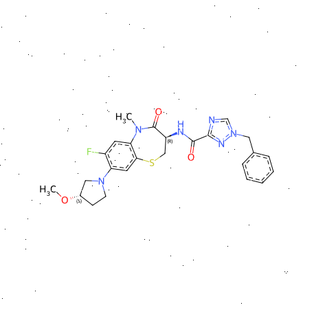 CO[C@H]1CCN(c2cc3c(cc2F)N(C)C(=O)[C@@H](NC(=O)c2ncn(Cc4ccccc4)n2)CS3)C1